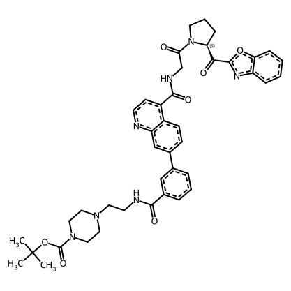 CC(C)(C)OC(=O)N1CCN(CCNC(=O)c2cccc(-c3ccc4c(C(=O)NCC(=O)N5CCC[C@H]5C(=O)c5nc6ccccc6o5)ccnc4c3)c2)CC1